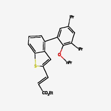 CCCOc1c(-c2cccc3sc(C=CC(=O)OCC)cc23)cc(C(C)C)cc1C(C)C